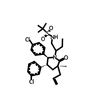 C=CC[C@@]1(C)C[C@H](c2cccc(Cl)c2)[C@@H](c2ccc(Cl)cc2)N(C(CC)CNS(=O)(=O)C(C)(C)C)C1=O